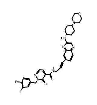 O=C(NCC#Cc1ccc2ncc(N[C@H]3CC[C@H](N4CCOCC4)CC3)nc2c1)c1ccnn(Cc2ccc(F)c(F)c2)c1=O